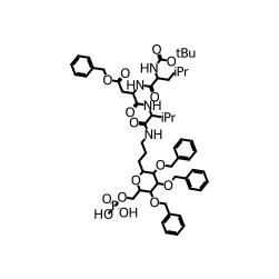 CC(C)CC(NC(=O)OC(C)(C)C)C(=O)NC(CC(=O)OCc1ccccc1)C(=O)NC(C(=O)NCCCC1OC(COP(=O)(O)O)C(OCc2ccccc2)C(OCc2ccccc2)C1OCc1ccccc1)C(C)C